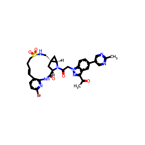 CC(=O)c1nn(CC(=O)N2[C@H]3C[C@@]4(CNS(=O)(=O)CC/C=C/c5ccc(Br)nc5NC3=O)C[C@@H]24)c2ccc(-c3cnc(C)nc3)cc12